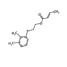 CC=CC(=O)OCCSc1cccc(C)c1C